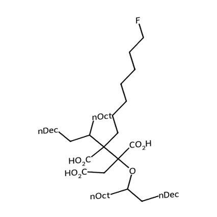 CCCCCCCCCCCC(CCCCCCCC)OC(CC(=O)O)(C(=O)O)C(CCCCCCCF)(C(=O)O)C(CCCCCCCC)CCCCCCCCCCC